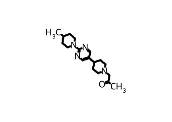 CC(=O)CN1CCC(c2cnc(N3CCC(C)CC3)nc2)CC1